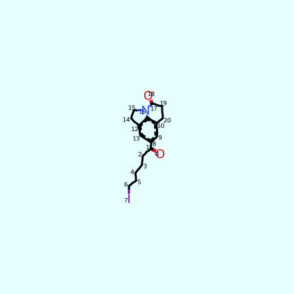 O=C(CCCCCI)c1cc2c3c(c1)CCN3C(=O)CC2